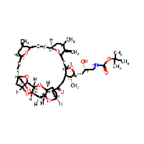 C=C1C[C@@H]2CC[C@@]34C[C@H]5O[C@H]6[C@@H](O3)[C@H]3O[C@H](CC[C@@H]3O[C@H]6C5O4)CC(=O)CC3[C@H](CC4O[C@@H](CCC1O2)C[C@@H](C)C4=C)O[C@H](C[C@H](O)CNC(=O)OC(C)(C)C)[C@@H]3C